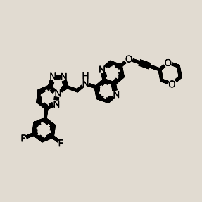 Fc1cc(F)cc(-c2ccc3nnc(CNc4ccnc5cc(OC#CC6COCCO6)cnc45)n3n2)c1